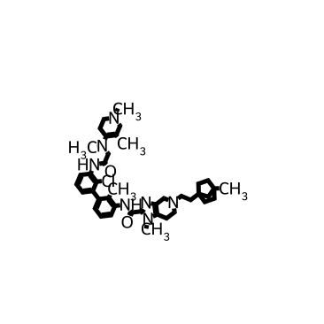 CC1=C(N(C)CC(=O)Nc2cccc(-c3cccc(NC(=O)c4nc5c(n4C)CCN(CCC46CCC(C)(CC4)C6)C5)c3C)c2Cl)CCN(C)C1